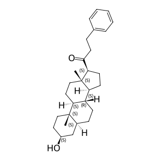 C[C@]12CC[C@H](O)C[C@@H]1CC[C@@H]1[C@@H]2CC[C@]2(C)[C@@H](C(=O)CCc3ccccc3)CC[C@@H]12